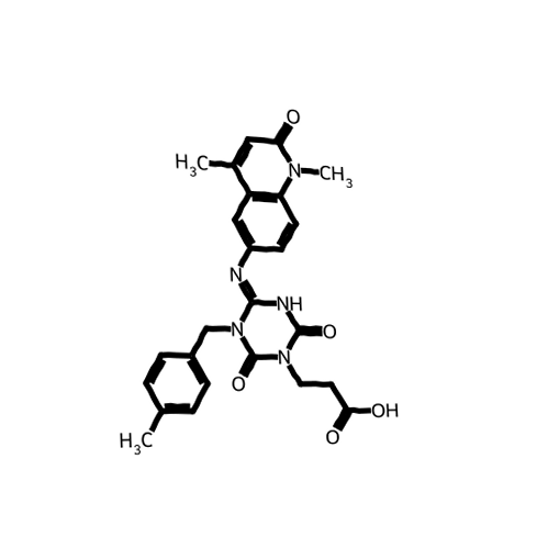 Cc1ccc(Cn2c(=O)n(CCC(=O)O)c(=O)[nH]/c2=N\c2ccc3c(c2)c(C)cc(=O)n3C)cc1